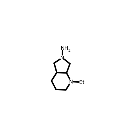 CCN1CCCC2CN(N)CC21